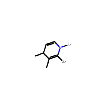 CC(=O)C1=C(C)C(C)C=CN1C(C)=O